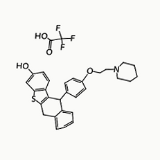 O=C(O)C(F)(F)F.Oc1ccc2c3c(sc2c1)Cc1ccccc1C3c1ccc(OCCN2CCCCC2)cc1